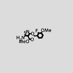 COC(=O)c1c(OCc2cccc(OC)c2F)nsc1N